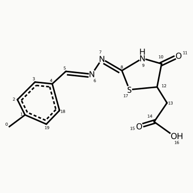 Cc1ccc(C=NN=C2NC(=O)C(CC(=O)O)S2)cc1